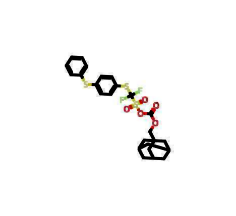 O=C(OCC12CC3CC(CC(C3)C1)C2)OS(=O)(=O)C(F)(F)Sc1ccc(Sc2ccccc2)cc1